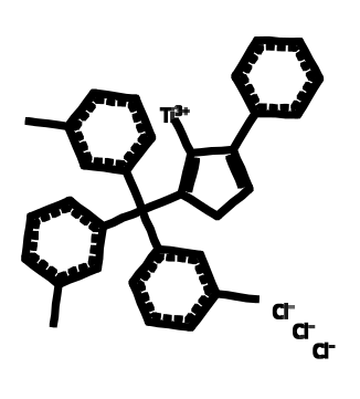 Cc1cccc(C(C2=[C]([Ti+3])C(c3ccccc3)=CC2)(c2cccc(C)c2)c2cccc(C)c2)c1.[Cl-].[Cl-].[Cl-]